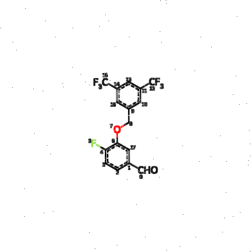 O=Cc1ccc(F)c(OCc2cc(C(F)(F)F)cc(C(F)(F)F)c2)c1